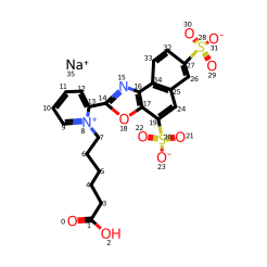 O=C(O)CCCCC[n+]1ccccc1-c1nc2c(o1)c(S(=O)(=O)[O-])cc1cc(S(=O)(=O)[O-])ccc12.[Na+]